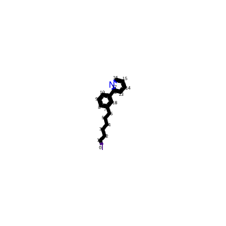 ICCCCCCc1cccc(-c2ccccn2)c1